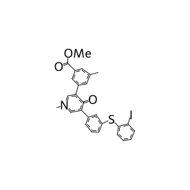 COC(=O)c1cc(C)cc(-c2cn(C)cc(-c3cccc(Sc4ccccc4I)c3)c2=O)c1